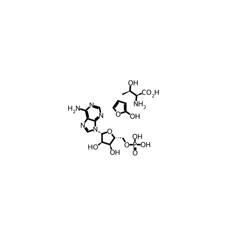 C[C@@H](O)[C@H](N)C(=O)O.Nc1ncnc2c1ncn2[C@@H]1O[C@H](COP(=O)(O)O)[C@@H](O)[C@H]1O.Oc1ccco1